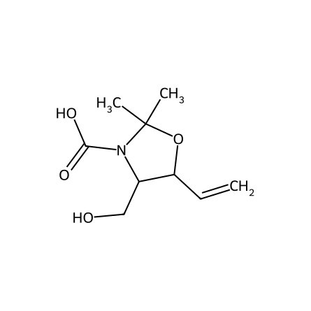 C=CC1OC(C)(C)N(C(=O)O)C1CO